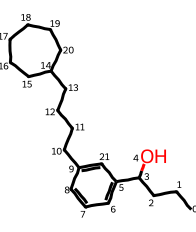 CCCC(O)c1cccc(CCCCC2CCCCCC2)c1